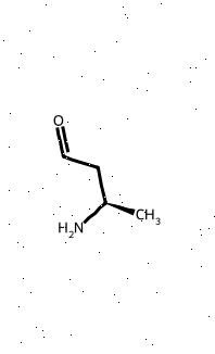 C[C@@H](N)CC=O